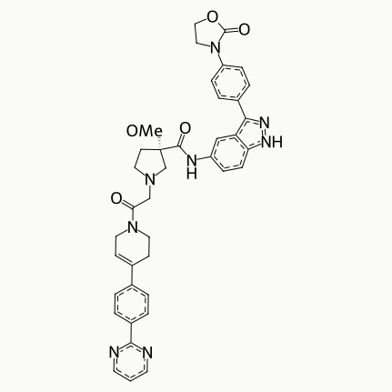 CO[C@@]1(C(=O)Nc2ccc3[nH]nc(-c4ccc(N5CCOC5=O)cc4)c3c2)CCN(CC(=O)N2CC=C(c3ccc(-c4ncccn4)cc3)CC2)C1